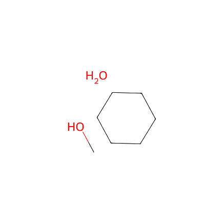 C1CCCCC1.CO.O